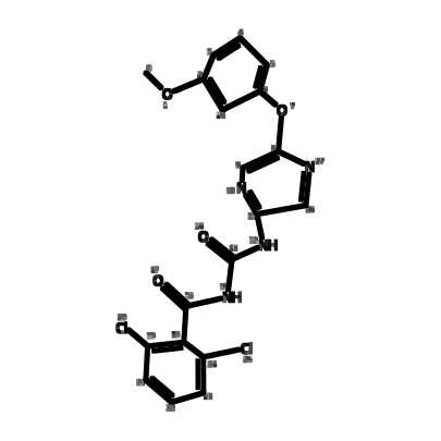 COc1cccc(Oc2cnc(NC(=O)NC(=O)c3c(Cl)cccc3Cl)cn2)c1